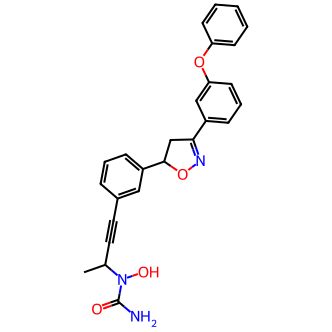 CC(C#Cc1cccc(C2CC(c3cccc(Oc4ccccc4)c3)=NO2)c1)N(O)C(N)=O